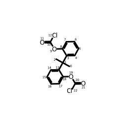 CC(C)(c1ccccc1OC(=O)Cl)c1ccccc1OC(=O)Cl